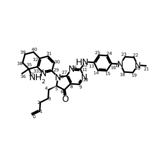 C=CCCC[C@@H]1C(=O)c2cnc(Nc3ccc(N4CCN(C)CC4)cc3)nc2N1c1ccc2c(n1)C(C)(N)CCC2